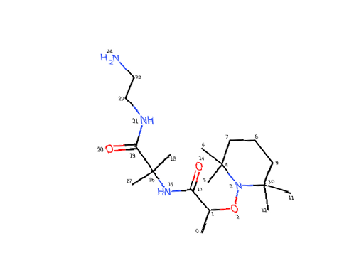 CC(ON1C(C)(C)CCCC1(C)C)C(=O)NC(C)(C)C(=O)NCCN